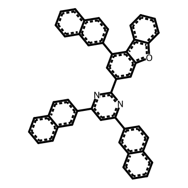 c1ccc2cc(-c3cc(-c4ccc5ccccc5c4)nc(-c4cc(-c5ccc6ccccc6c5)c5c(c4)oc4ccccc45)n3)ccc2c1